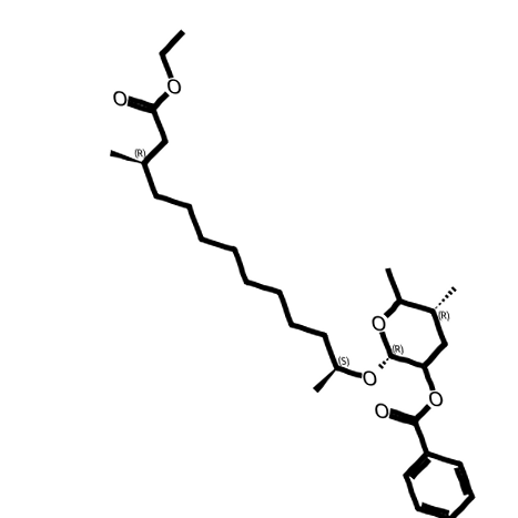 CCOC(=O)C[C@H](C)CCCCCCCC[C@H](C)O[C@@H]1OC(C)[C@H](C)CC1OC(=O)c1ccccc1